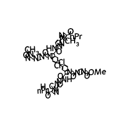 CCCC(=O)c1cnn(-c2ccc(NC(=O)c3cn(CC(=O)N4CCN(CC(=O)OC)CC4)c4ccc(Cl)cc34)nn2)c1C.CCCC(=O)c1cnn(-c2ccc(NC(=O)c3cn(CC(=O)N4CCN(Cc5noc(C)n5)CC4)c4ccc(Cl)cc34)nn2)c1C